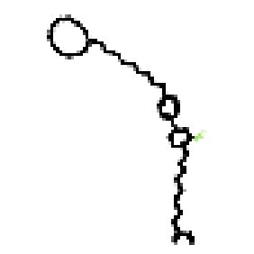 C=CC(=C)CCCCCCCCc1ccc(-c2ccc(CCCCCCCCCC3CCCCCCCCCCC3)cc2)cc1F